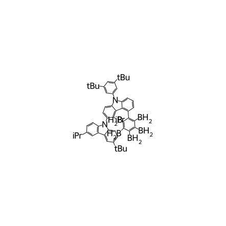 Bc1c(B)c(B)c(-c2cccc3c2c2c(C(C)C)c(-n4c5ccc(C(C)C)cc5c5cc(C(C)(C)C)ccc54)ccc2n3-c2cc(C(C)(C)C)cc(C(C)(C)C)c2)c(B)c1B